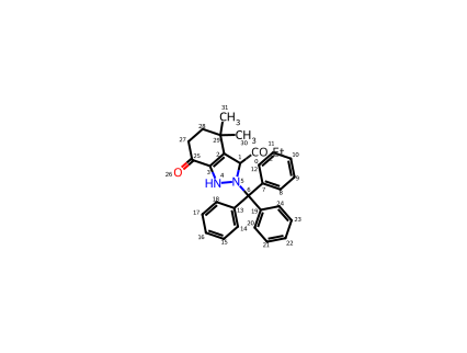 CCOC(=O)C1C2=C(NN1C(c1ccccc1)(c1ccccc1)c1ccccc1)C(=O)CCC2(C)C